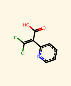 O=C(O)C(=C(Cl)Cl)c1ccccn1